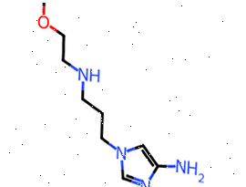 COCCNCCCn1cnc(N)c1